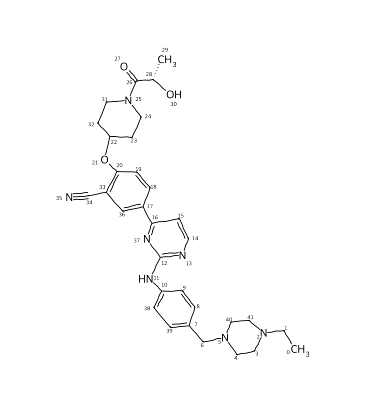 CCN1CCN(Cc2ccc(Nc3nccc(-c4ccc(OC5CCN(C(=O)[C@H](C)O)CC5)c(C#N)c4)n3)cc2)CC1